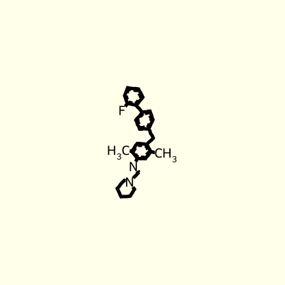 Cc1cc(N=CN2CCCCC2)c(C)cc1Cc1ccc(-c2ccccc2F)cc1